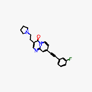 O=c1c(CCN2CCCC2)cnc2cc(C#Cc3cccc(F)c3)ccn12